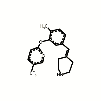 Cc1ccc(C=C2CCNCC2)cc1Oc1ccc(C(F)(F)F)cn1